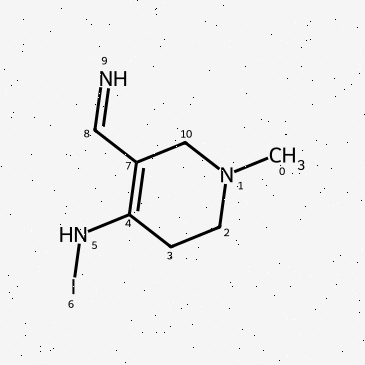 CN1CCC(NI)=C(C=N)C1